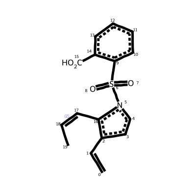 C=Cc1ccn(S(=O)(=O)c2ccccc2C(=O)O)c1/C=C\C